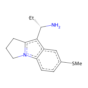 C[CH][C@H](N)c1c2n(c3ccc(SC)cc13)CCC2